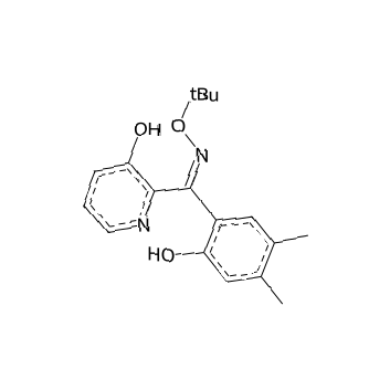 Cc1cc(O)c(/C(=N/OC(C)(C)C)c2ncccc2O)cc1C